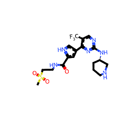 CS(=O)(=O)CCNC(=O)c1cc(-c2nc(N[C@H]3CCCNC3)ncc2C(F)(F)F)c[nH]1